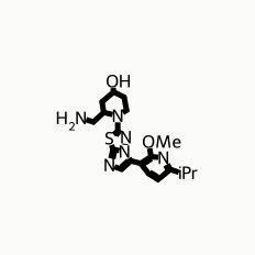 COc1nc(C(C)C)ccc1-c1cnc2sc(N3CCC(O)CC3CN)nn12